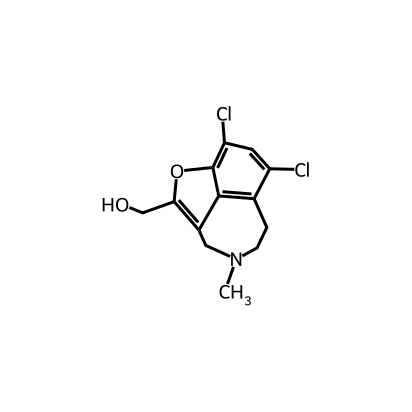 CN1CCc2c(Cl)cc(Cl)c3oc(CO)c(c23)C1